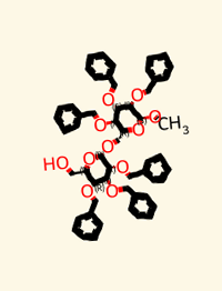 CO[C@H]1O[C@H](CO[C@@H]2O[C@H](CO)[C@@H](OCc3ccccc3)[C@H](OCc3ccccc3)[C@H]2OCc2ccccc2)[C@@H](OCc2ccccc2)[C@H](OCc2ccccc2)[C@H]1OCc1ccccc1